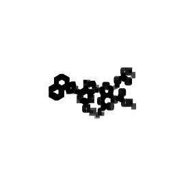 CC(=O)OC[C@H]1O[C@@H](n2cnc3c(N4CC5(CCCc6ccccc65)C4)nc(Cl)nc32)C(OC(C)=O)C1OC(C)=O